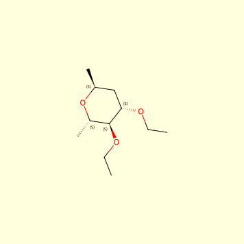 CCO[C@H]1[C@H](C)O[C@@H](C)C[C@@H]1OCC